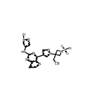 CCn1cc(Nc2nc(-c3cnn(C4(CC#N)CN(S(=O)(=O)CC)C4)c3)c3sccc3n2)cn1